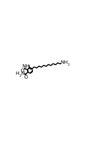 Cc1c(CCCCCCCCCCCCN)ccc(C(N)=O)c1C(N)=O